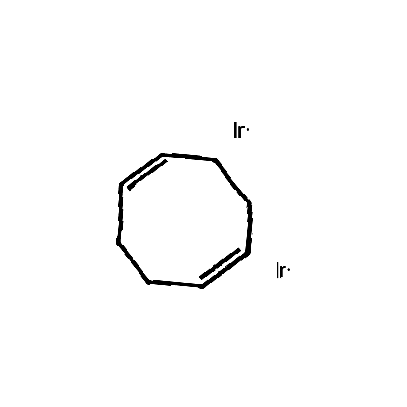 C1=CCCC=CCC1.[Ir].[Ir]